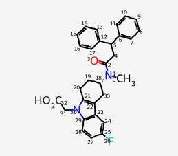 CN(C(=O)CC(c1ccccc1)c1ccccc1)[C@H]1CCc2c(c3cc(F)ccc3n2CC(=O)O)C1